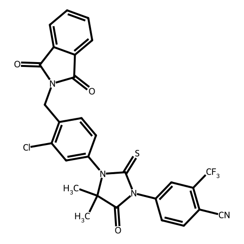 CC1(C)C(=O)N(c2ccc(C#N)c(C(F)(F)F)c2)C(=S)N1c1ccc(CN2C(=O)c3ccccc3C2=O)c(Cl)c1